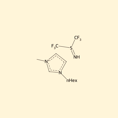 CCCCCCn1cc[n+](C)c1.N=S(C(F)(F)F)C(F)(F)F